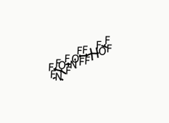 CN(OC(F)(F)C(F)(F)C(C)(C)C(C)(C)OC(F)(F)F)C(F)(F)OC(C)(N(C)C)C(F)(F)F